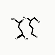 CC(CO)CCCO.O=C(O)CCC(=O)O